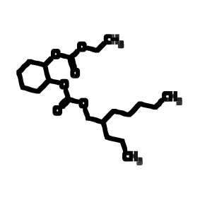 CCCCCC(CCC)COC(=O)OC1CCCCC1OC(=O)OCC